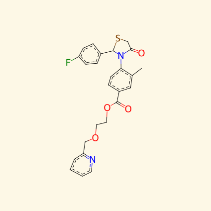 Cc1cc(C(=O)OCCOCc2ccccn2)ccc1N1C(=O)CSC1c1ccc(F)cc1